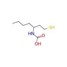 CCCCC(CCS)NC(=O)O